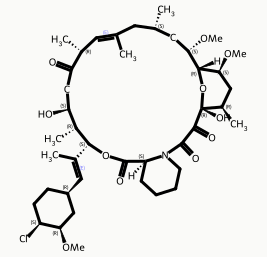 CO[C@H]1C[C@@H](C)C/C(C)=C/[C@@H](C)C(=O)C[C@H](O)[C@@H](C)[C@@H](/C(C)=C/[C@@H]2CC[C@H](Cl)[C@H](OC)C2)OC(=O)[C@@H]2CCCCN2C(=O)C(=O)[C@]2(O)O[C@H]1[C@@H](OC)C[C@H]2C